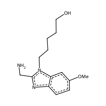 COc1ccc2nc(CN)n(CCCCCO)c2c1